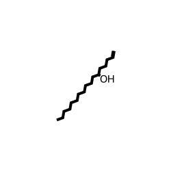 C=CCCCC(O)CCCCCCCCCCC